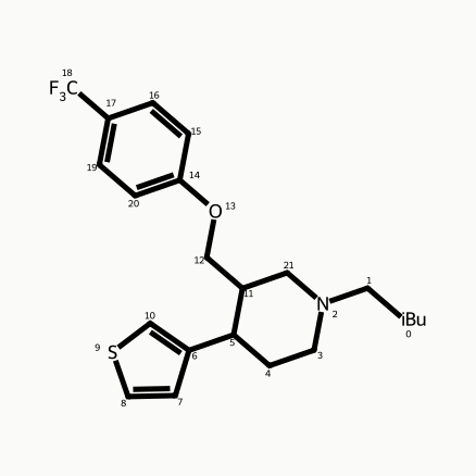 CCC(C)CN1CCC(c2ccsc2)C(COc2ccc(C(F)(F)F)cc2)C1